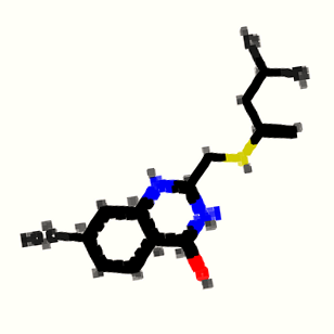 C=C(CC(CC)CC)SCc1nc2cc(C(=O)O)ccc2c(=O)[nH]1